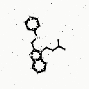 CC(C)CCn1c(CNc2ccncc2)nc2ccccc21